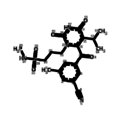 Cc1cc(C#N)cc(C(=O)c2c(C(C)C)c(=O)[nH]c(=O)n2CCCS(=O)(=O)NP)c1